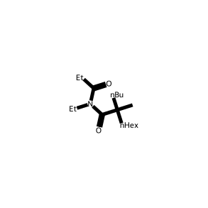 CCCCCCC(C)(CCCC)C(=O)N(CC)C(=O)CC